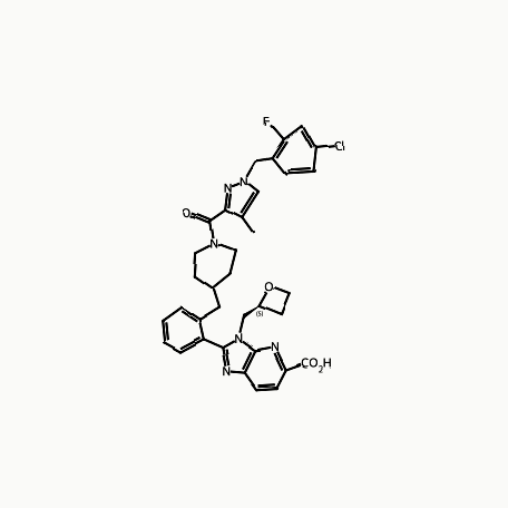 Cc1cn(Cc2ccc(Cl)cc2F)nc1C(=O)N1CCC(Cc2ccccc2-c2nc3ccc(C(=O)O)nc3n2C[C@@H]2CCO2)CC1